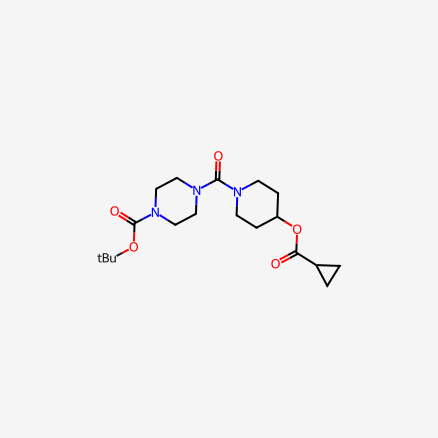 CC(C)(C)OC(=O)N1CCN(C(=O)N2CCC(OC(=O)C3CC3)CC2)CC1